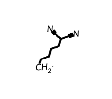 [CH2]CCCCC(C#N)C#N